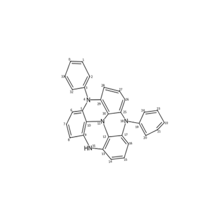 c1ccc(N2c3cccc4c3N3c5c(cccc5N(c5ccccc5)c5cccc2c53)N4)cc1